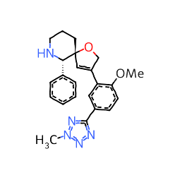 COc1ccc(-c2nnn(C)n2)cc1C1=C[C@@]2(CCCN[C@H]2c2ccccc2)OC1